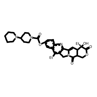 CCc1c2c(nc3ccc(OC(=O)N4CCC(N5CCCCC5)CC4)cc13)C1=CC3C(COC(=O)[C@]3(O)CC)C(=O)N1C2